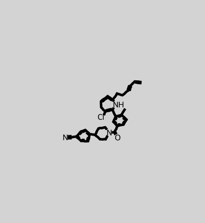 C=CC#CCCC1=C=CCC(Cl)=C(c2cc(C(=O)N3CCC(c4ccc(C#N)cc4)CC3)ccc2C)N1